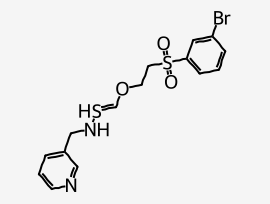 O=S(=O)(CCOC=[SH]NCc1cccnc1)c1cccc(Br)c1